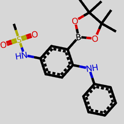 CC1(C)OB(c2cc(NS(C)(=O)=O)ccc2Nc2ccccc2)OC1(C)C